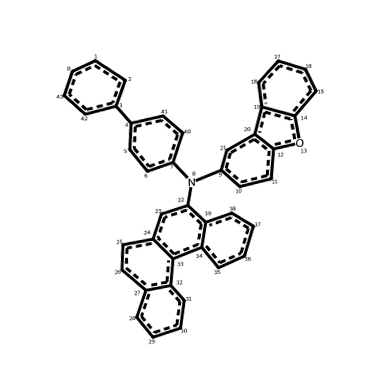 c1ccc(-c2ccc(N(c3ccc4oc5ccccc5c4c3)c3cc4ccc5ccccc5c4c4ccccc34)cc2)cc1